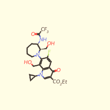 CCOC(=O)c1cn(C2CC2)c2c(CO)c(N3CCCC[C@@H](NC(=O)C(F)(F)F)[C@H]3CO)c(F)cc2c1=O